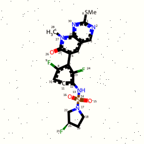 CSc1ncc2cc(-c3c(F)ccc(NS(=O)(=O)N4CC[C@@H](F)C4)c3F)c(=O)n(C)c2n1